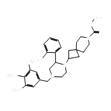 COc1cc(CN2CCN(C3CC4(CCN(C(=O)OC(C)(C)C)CC4)C3)C(c3ccccc3C(C)C)C2)cc(OC)c1OC